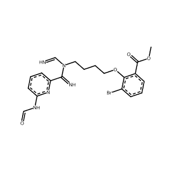 COC(=O)c1cccc(Br)c1OCCCCN(C=N)C(=N)c1cccc(NC=O)n1